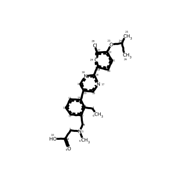 CCc1c(CN(C)CC(=O)O)cccc1-c1cnc(-c2ccc(OC(C)C)c(Cl)c2)nc1